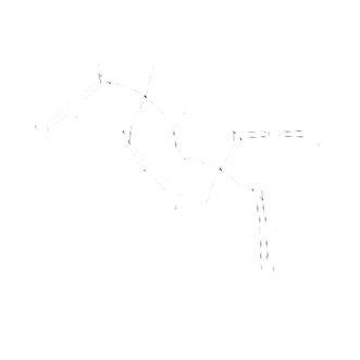 CC(N=C=O)(N=C=O)SSC(C)(N=C=O)N=C=O